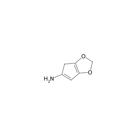 NC1=CC2=C(C1)OCO2